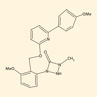 COc1ccc(-c2cccc(OCc3c(OC)cccc3-n3[nH]n(C)c3=O)n2)cc1